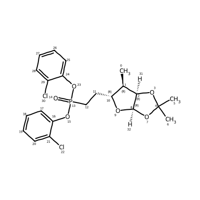 C[C@H]1[C@H]2OC(C)(C)O[C@H]2O[C@@H]1CCP(=O)(Oc1ccccc1Cl)Oc1ccccc1Cl